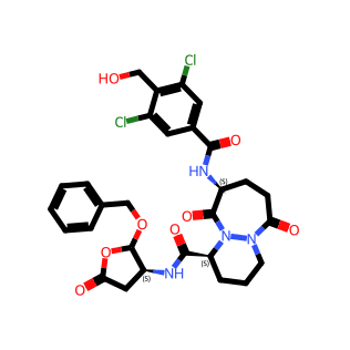 O=C1C[C@H](NC(=O)[C@@H]2CCCN3C(=O)CC[C@H](NC(=O)c4cc(Cl)c(CO)c(Cl)c4)C(=O)N23)C(OCc2ccccc2)O1